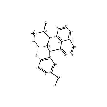 COc1cccc(C(c2cccc3ccccc23)N2C[C@H](C)NC[C@H]2C)c1